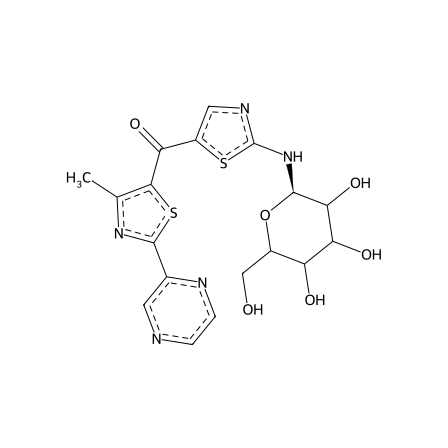 Cc1nc(-c2cnccn2)sc1C(=O)c1cnc(N[C@@H]2OC(CO)C(O)C(O)C2O)s1